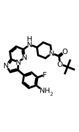 CC(C)(C)OC(=O)N1CCC(Nc2ccc3ncc(-c4ccc(N)c(F)c4)n3n2)CC1